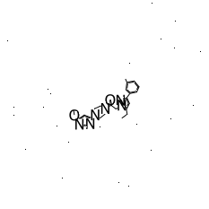 CCc1cc(-c2cccc(C)c2)nn1CC(=O)N1CCN(c2cc(OC)ncn2)CC1